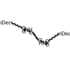 CCCCCCCCCCCCCCCCCCOC(=O)NCCOCC#CC#CCOCCNC(=O)OCCCCCCCCCCCCCCCCCC